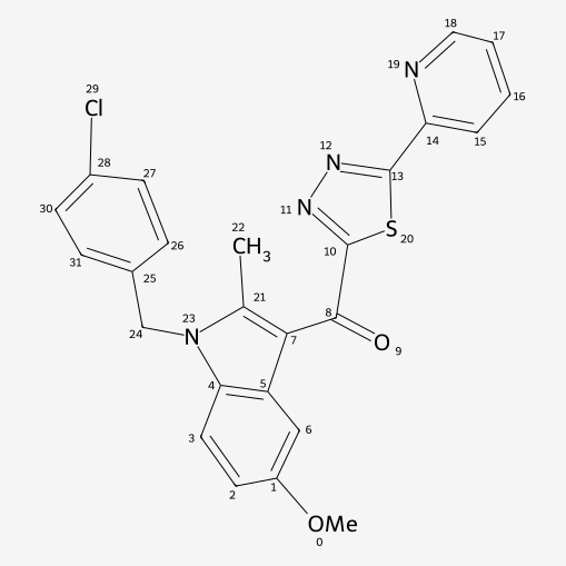 COc1ccc2c(c1)c(C(=O)c1nnc(-c3ccccn3)s1)c(C)n2Cc1ccc(Cl)cc1